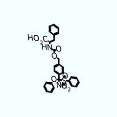 NC(Oc1ccccc1)(c1ccc(COC(=O)N[C@H](Cc2ccccc2)C(=O)O)cc1)S(=O)(=O)c1ccccc1